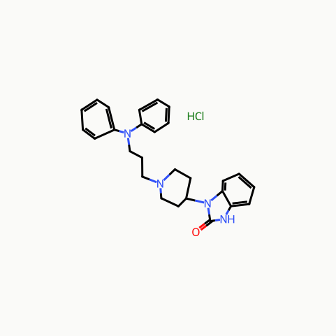 Cl.O=c1[nH]c2ccccc2n1C1CCN(CCCN(c2ccccc2)c2ccccc2)CC1